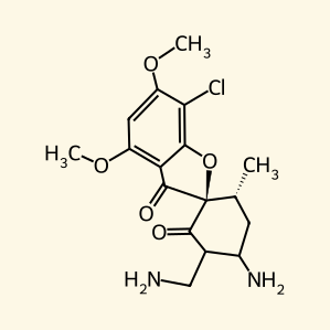 COc1cc(OC)c2c(c1Cl)O[C@]1(C2=O)C(=O)C(CN)C(N)C[C@H]1C